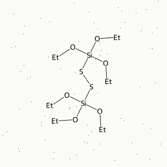 CCO[Si](OCC)(OCC)SS[Si](OCC)(OCC)OCC